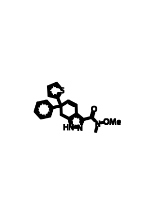 CON(C)C(=O)c1n[nH]c2c1C=CC(c1ccccc1)(c1cccs1)C2